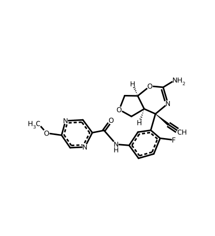 C#C[C@]1(c2cc(NC(=O)c3cnc(OC)cn3)ccc2F)N=C(N)O[C@@H]2COC[C@@H]21